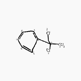 ClC(Cl)(Cl)C(Cl)(Cl)c1[c]cccc1